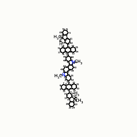 Cn1c2cc(-c3c4ccccc4c(-c4ccc5c(c4)C(C)(C)c4ccccc4-5)c4ccccc34)ccc2c2c3ccc4c(c3ccc21)c1ccc(-c2c3ccccc3c(-c3ccc5c(c3)C(C)(C)c3ccccc3-5)c3ccccc23)cc1n4C